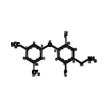 Cc1cc(Oc2cc(F)c(CN)cc2F)cc(C(F)(F)F)c1